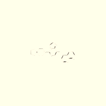 c1cnc2nccc(Sc3cnc(N4CCC5(CCCC5)CC4)n4ccnc34)c2c1